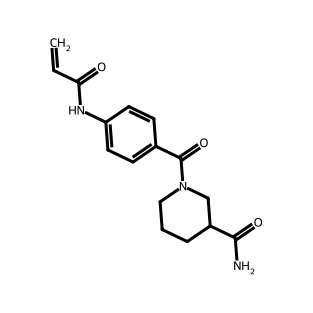 C=CC(=O)Nc1ccc(C(=O)N2CCCC(C(N)=O)C2)cc1